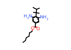 CCCCCCOC(=O)c1cc(N)c(C(C)(C)C(C)C)c(N)c1